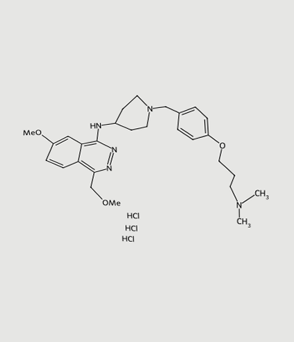 COCc1nnc(NC2CCN(Cc3ccc(OCCCN(C)C)cc3)CC2)c2cc(OC)ccc12.Cl.Cl.Cl